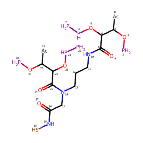 CC(=O)C(OP)C(OPP)C(=O)NCCCN(CC(=O)NS)C(=O)C(OPP)C(OP)C(C)=O